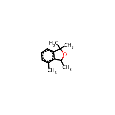 Cc1cccc2c1C(C)OC2(C)C